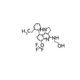 CCc1ccccc1-c1ccc(OC(F)(F)F)c2nc(NCCO)c3c(c12)NCC3